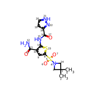 CC1(C)CN(S(=O)(=O)c2cc(C(N)=O)c(NC(=O)c3cc[nH]n3)s2)C1